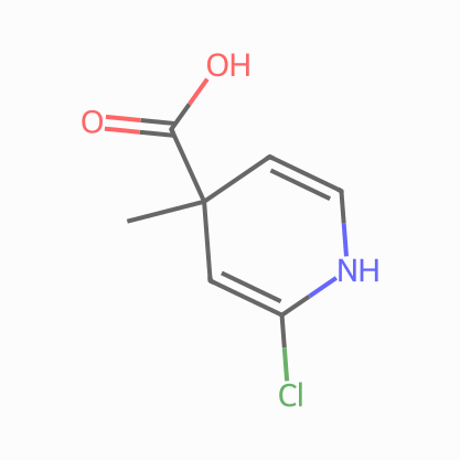 CC1(C(=O)O)C=CNC(Cl)=C1